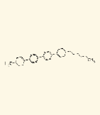 CCCCCCC1CC=C(c2ccc(-c3ccc(C4=CCC(C)CC4)cc3)cc2)CC1